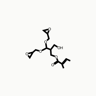 CC=C(C)C(=O)OCC(CO)C(OCC1CO1)OCC1CO1